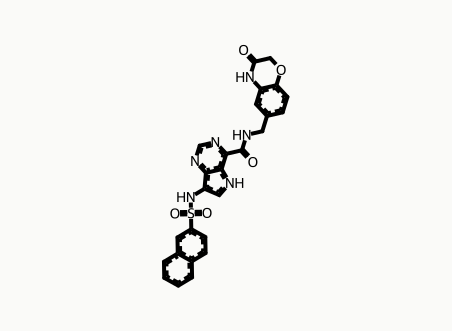 O=C1COc2ccc(CNC(=O)c3ncnc4c(NS(=O)(=O)c5ccc6ccccc6c5)c[nH]c34)cc2N1